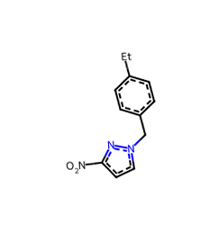 CCc1ccc(Cn2ccc([N+](=O)[O-])n2)cc1